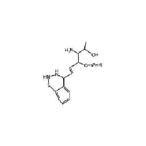 CCCCCOC(C=CC1NNSc2ccccc21)C(N)C(C)O